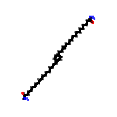 NC(=O)CCCCCCCCCCCCCCCCCc1ccc(CCCCCCCCCCCCCCCCCC(N)=O)cc1